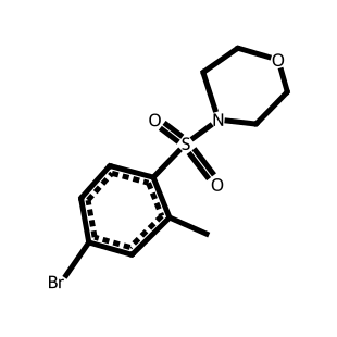 Cc1cc(Br)ccc1S(=O)(=O)N1CCOCC1